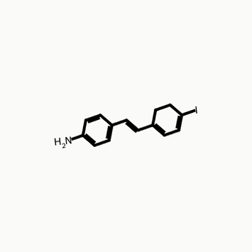 Nc1ccc(/C=C/C2=CC=C(I)CC2)cc1